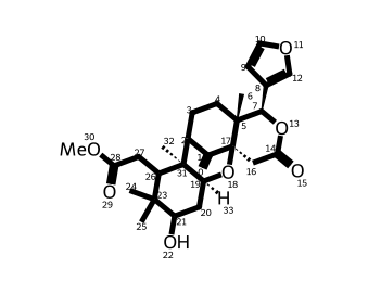 C=C1C2CC[C@]3(C)[C@@H](c4ccoc4)OC(=O)C[C@]13O[C@H]1CC(O)C(C)(C)C(CC(=O)OC)[C@@]21C